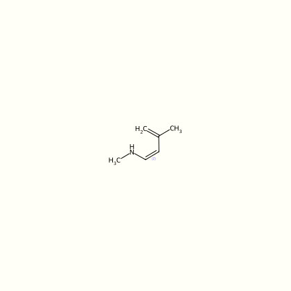 C=C(C)/C=C\NC